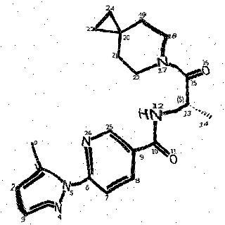 Cc1ccnn1-c1ccc(C(=O)N[C@@H](C)C(=O)N2CCC3(CC2)CC3)cn1